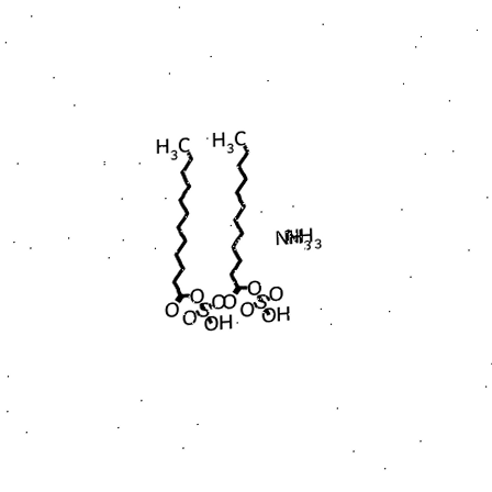 CCCCCCCCCCCC(=O)OS(=O)(=O)O.CCCCCCCCCCCC(=O)OS(=O)(=O)O.N.N